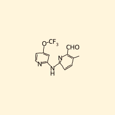 Cc1ccc(Nc2cc(OC(F)(F)F)ccn2)nc1C=O